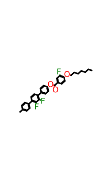 CCCCCCCOc1ccc(C(=O)Oc2ccc(-c3ccc(-c4ccc(C)cc4)c(F)c3F)cc2)cc1F